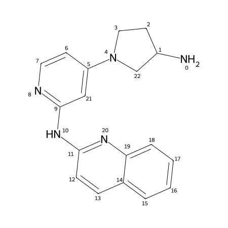 NC1CCN(c2ccnc(Nc3ccc4ccccc4n3)c2)C1